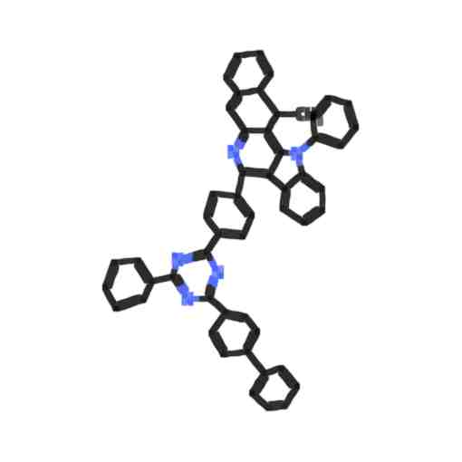 CC1c2c(nc(-c3ccc(-c4nc(-c5ccccc5)nc(-c5ccc(-c6ccccc6)cc5)n4)cc3)c3c4ccccc4n(-c4ccccc4)c23)C=C2C=CC=CC21